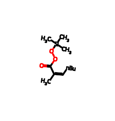 CCCCC=C(C)C(=O)OO[Si](C)(C)C